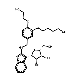 OCCCCOc1cc(CNc2nc3ccccc3n2[C@@H]2O[C@H](CO)[C@@H](O)[C@H]2O)ccc1OCCO